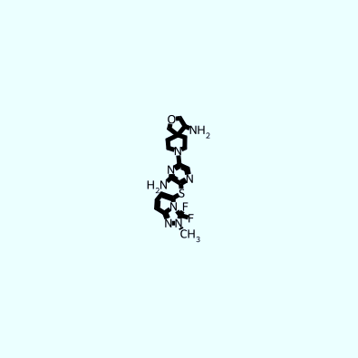 CN1N=C2C=CC=C(Sc3ncc(N4CCC5(CC4)COCC5N)nc3N)N2C1(F)F